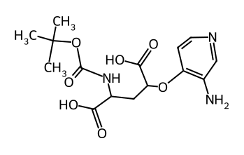 CC(C)(C)OC(=O)NC(CC(Oc1ccncc1N)C(=O)O)C(=O)O